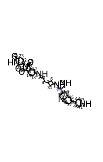 N=C/C(=C\NC1CC(CCCNc2ccc3c(c2)C(=O)N(C2CCC(=O)NC2=O)C3=O)C1)c1cnc2ccc(C3CCNCC3)cc2n1